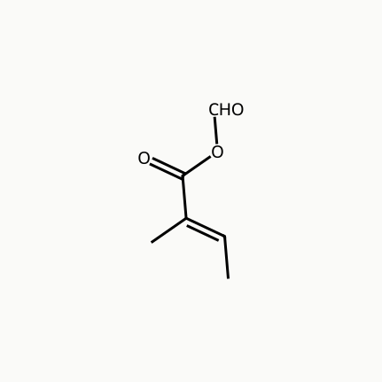 CC=C(C)C(=O)OC=O